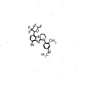 COc1ccc(N2CCCn3c2nc2c(Br)ccc(C(OC(F)F)C(F)(F)F)c23)c(C)c1